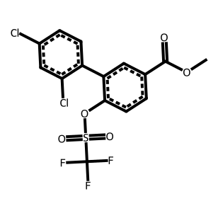 COC(=O)c1ccc(OS(=O)(=O)C(F)(F)F)c(-c2ccc(Cl)cc2Cl)c1